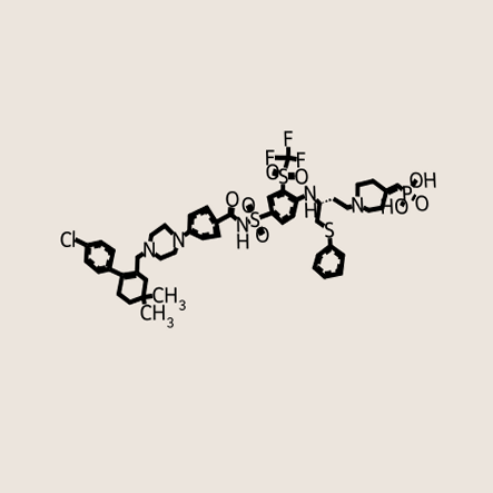 CC1(C)CCC(c2ccc(Cl)cc2)=C(CN2CCN(c3ccc(C(=O)NS(=O)(=O)c4ccc(N[C@H](CCN5CCC(=CP(=O)(O)O)CC5)CSc5ccccc5)c(S(=O)(=O)C(F)(F)F)c4)cc3)CC2)C1